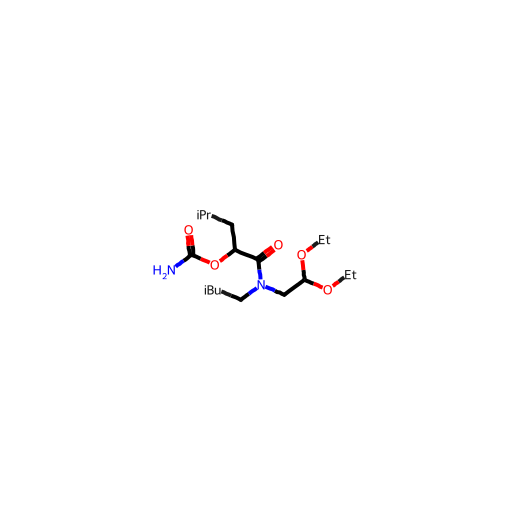 CCOC(CN(CC(C)CC)C(=O)C(CC(C)C)OC(N)=O)OCC